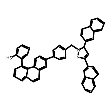 Sc1ccccc1-c1cccc2ccc3cc(-c4ccc(CN5NC(c6ccc7ccccc7c6)=CC5c5ccc6ccccc6c5)cc4)ccc3c12